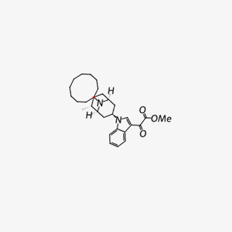 COC(=O)C(=O)c1cn([C@@H]2C[C@@H]3CC[C@@H](C)[C@H](C2)N3C2CCCCCCCCC2)c2ccccc12